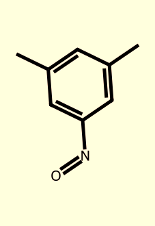 Cc1cc(C)cc(N=O)c1